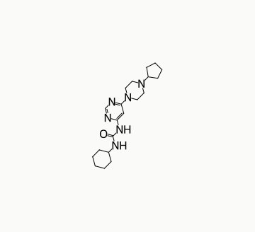 O=C(Nc1cc(N2CCN(C3CCCC3)CC2)ncn1)NC1CCCCC1